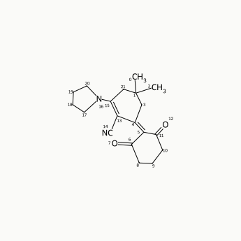 CC1(C)CC(=C2C(=O)CCCC2=O)C(C#N)=C(N2CCCC2)C1